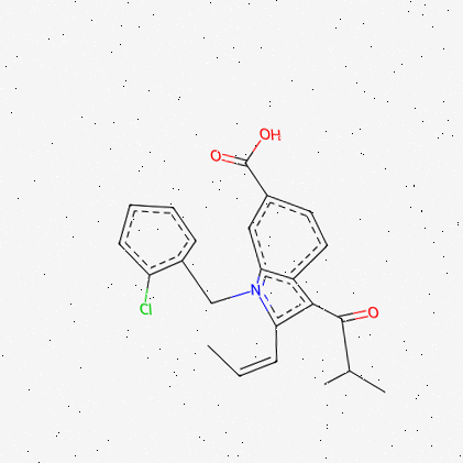 C/C=C\c1c(C(=O)C(C)C)c2ccc(C(=O)O)cc2n1Cc1ccccc1Cl